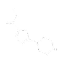 CCC(=O)c1cnc(C2CCNCC2)s1